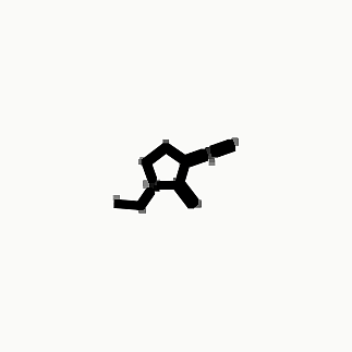 C=C=C1CCN(CC)C1=C